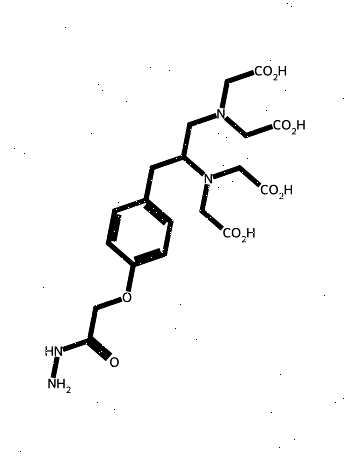 NNC(=O)COc1ccc(CC(CN(CC(=O)O)CC(=O)O)N(CC(=O)O)CC(=O)O)cc1